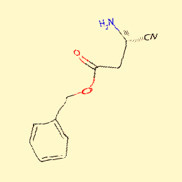 N#C[C@@H](N)CC(=O)OCc1ccccc1